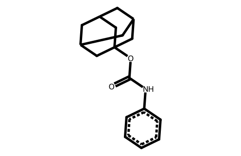 O=C(Nc1ccccc1)OC12CC3CC(CC(C3)C1)C2